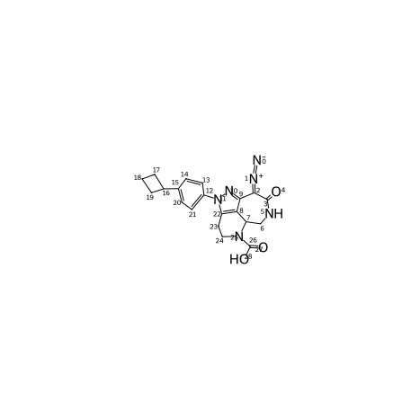 [N-]=[N+]=C1C(=O)NCC2c3c1nn(-c1ccc(C4CCC4)cc1)c3CCN2C(=O)O